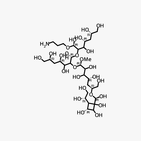 CO[C@H](OC(C(O)[C@H](O)C[C@H](O)CO)[C@H](O)OC(C(O)[C@H](O)C[C@H](O)CO)[C@H](O)OCCCN)C(O)C(O)[C@H](O)C[C@@H](CO)O[C@@H](O)C1(O)C(O)[C@H](O)C1[C@H](O)CO